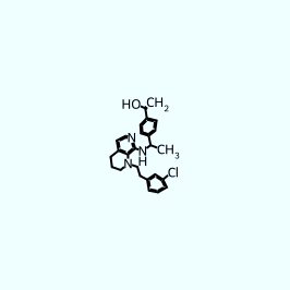 C=C(O)c1ccc(C(C)Nc2nccc3c2N(CCc2cccc(Cl)c2)CCC3)cc1